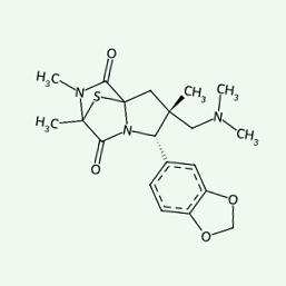 CN(C)C[C@@]1(C)CC23SC(C)(C(=O)N2[C@H]1c1ccc2c(c1)OCO2)N(C)C3=O